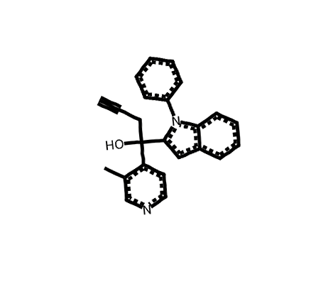 C#CCC(O)(c1ccncc1C)c1cc2ccccc2n1-c1ccccc1